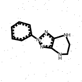 c1ccc(-n2nc3c(n2)NCCN3)cc1